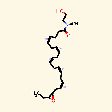 CCC1OC1C/C=C\C/C=C\C/C=C\C/C=C\C/C=C\CCC(=O)N(C)CCO